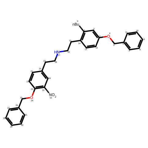 CCCCc1cc(OCc2ccccc2)ccc1CCNCCc1ccc(OCc2ccccc2)c([N+](=O)[O-])c1